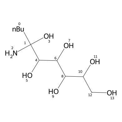 CCCCC(N)(O)C(O)C(O)C(O)C(O)CO